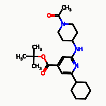 CC(=O)N1CCC(Nc2cc(C(=O)OC(C)(C)C)cc(C3CCCCC3)n2)CC1